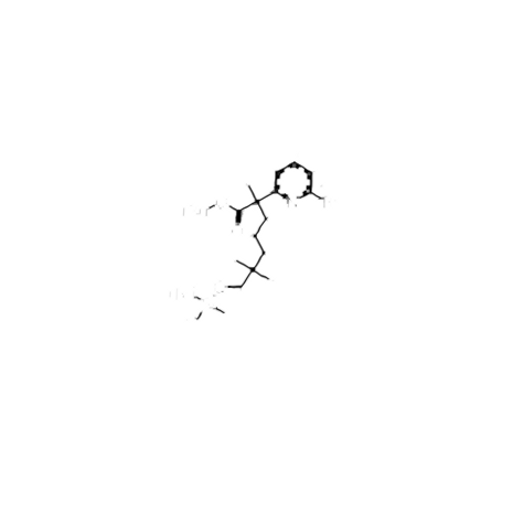 CC(C)(CCCC(C)(C(=O)OC(C)(C)C)c1cccc(Br)n1)CO[Si](C)(C)C(C)(C)C